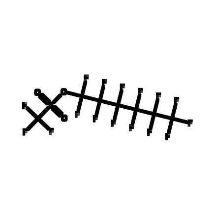 O=S(=O)(OC(F)(F)C(F)(F)C(F)(F)C(F)(F)C(F)(F)C(F)(F)F)C(F)(F)F